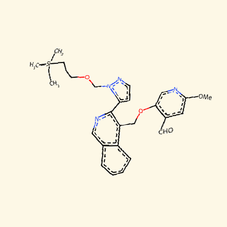 COc1cc(C=O)c(OCc2c(-c3ccnn3COCC[Si](C)(C)C)ncc3ccccc23)cn1